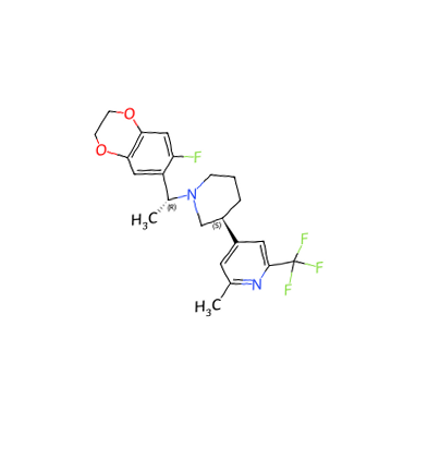 Cc1cc([C@@H]2CCCN([C@H](C)c3cc4c(cc3F)OCCO4)C2)cc(C(F)(F)F)n1